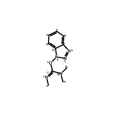 C/N=C(/On1nnc2ccccc21)N(C)C